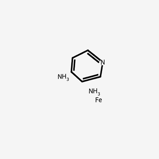 N.N.[Fe].c1ccncc1